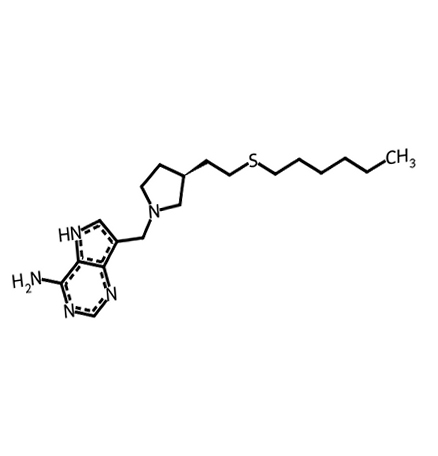 CCCCCCSCC[C@@H]1CCN(Cc2c[nH]c3c(N)ncnc23)C1